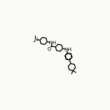 CN(C)C1CCC(NC(=O)C2CCC(Nc3ccc(C4CCC(C)(C)CC4)cc3)CC2)CC1